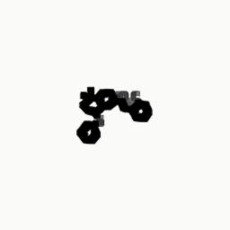 CC1(C)CC=C(Sc2ccccc2)c2cc(C=Cc3ccccc3C(=O)O)ccc21